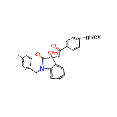 CCCCCCc1ccc(C(=O)CC2(O)C(=O)N(Cc3ccc(C)cc3)c3ccccc32)cc1